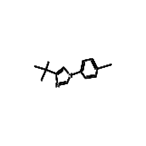 Cc1ccc(-n2cnc(C(C)(C)C)c2)cc1